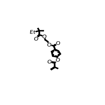 C=C(C)C(=O)Oc1ccc(C(=O)OCCOC(=O)C(C)(C)CC)cc1